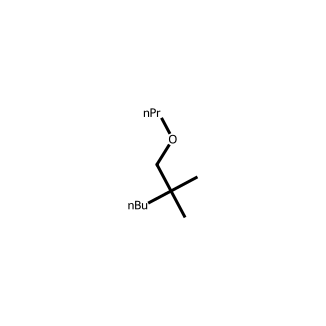 CCCCC(C)(C)COCCC